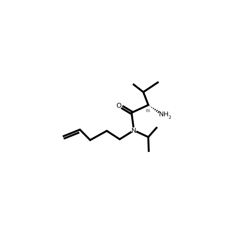 C=CCCCN(C(=O)[C@@H](N)C(C)C)C(C)C